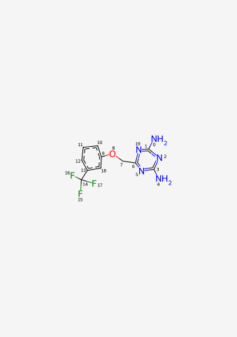 Nc1nc(N)nc(COc2cccc(C(F)(F)F)c2)n1